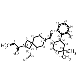 C=CC(=O)N1CC2(CCN(C(=O)[C@H]3COC(C)(C)C[C@@H]3c3ccccc3Cl)CC2)[C@@H]1CF